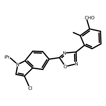 Cc1c(C=O)cccc1-c1noc(-c2ccc3c(c2)c(Cl)cn3C(C)C)n1